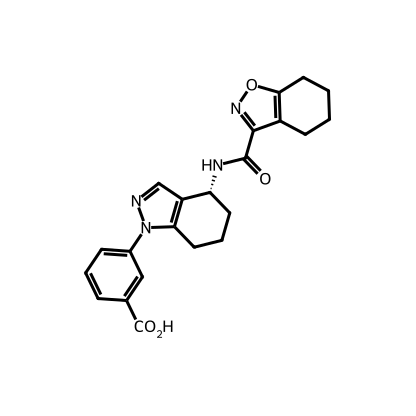 O=C(O)c1cccc(-n2ncc3c2CCC[C@H]3NC(=O)c2noc3c2CCCC3)c1